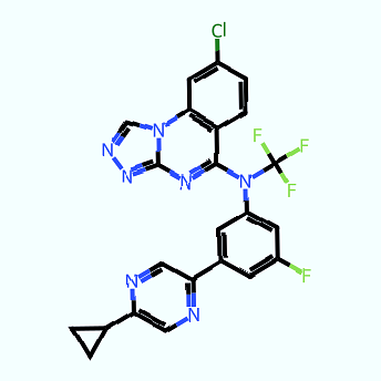 Fc1cc(-c2cnc(C3CC3)cn2)cc(N(c2nc3nncn3c3cc(Cl)ccc23)C(F)(F)F)c1